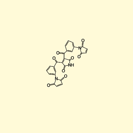 O=C1NC(=O)C(C(=O)c2cccc(N3C(=O)C=CC3=O)c2)=C1C(=O)c1cccc(N2C(=O)C=CC2=O)c1